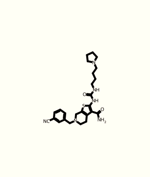 N#Cc1cccc(CN2CCc3c(sc(NC(=O)NCCCCN4CCCC4)c3C(N)=O)C2)c1